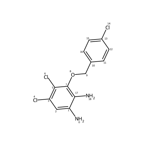 Nc1cc(Cl)c(Cl)c(OCc2ccc(Cl)cc2)c1N